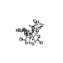 CCCCO[C@H]1C(=O)OC2OC3C(=O)OC4[C@H](O)[C@@H](C(C)(C)C)C21C34[C@@H](O)C1C=C(C)C(=O)O1